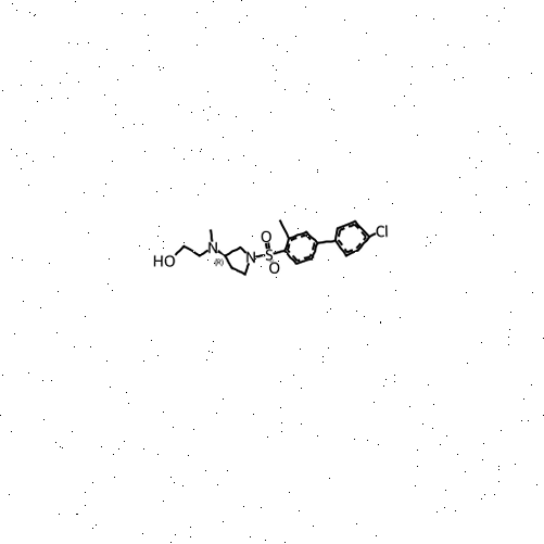 Cc1cc(-c2ccc(Cl)cc2)ccc1S(=O)(=O)N1CC[C@@H](N(C)CCO)C1